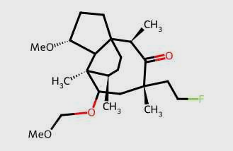 COCOC1C[C@@](C)(CCF)C(=O)[C@H](C)C23CC[C@@H](C)[C@]1(C)C2[C@H](OC)CC3